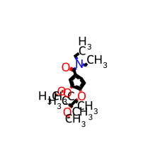 CCN(CC)C(=O)c1ccc(OC(C)(C)C(C)(C)OC)c(OOC)c1